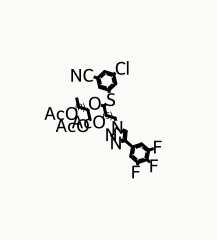 CC(=O)OCC(OC(Sc1cc(Cl)cc(C#N)c1)[C@H](Cn1cc(-c2cc(F)c(F)c(F)c2)nn1)OC(C)=O)[C@@H](C)OC(C)=O